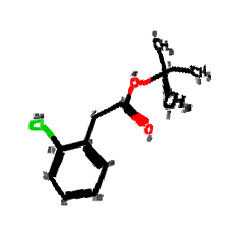 CC(C)(C)OC(=O)[CH]c1ccccc1Cl